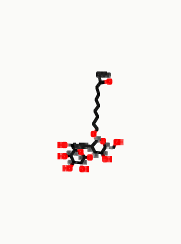 COC(=O)CCCCCCCCO[C@@H]1O[C@H](CO)[C@@H](O)[C@H](O[C@@H]2O[C@H](CO)[C@H](O)[C@H](O)[C@H]2O)[C@H]1NC(C)=O